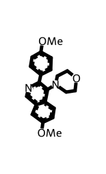 COc1ccc(-c2ncc3cc(OC)ccc3c2N2CCOCC2)cc1